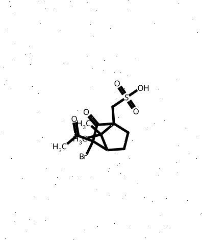 CC(=O)C1(Br)C(=O)C2(CS(=O)(=O)O)CCC1C2(C)C